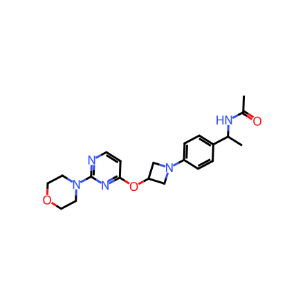 CC(=O)NC(C)c1ccc(N2CC(Oc3ccnc(N4CCOCC4)n3)C2)cc1